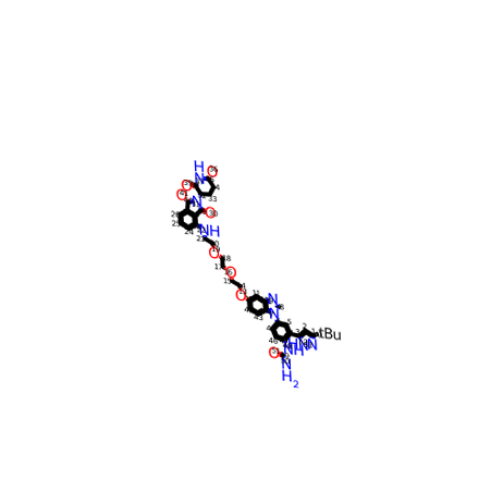 CC(C)(C)c1cc(-c2cc(-n3cnc4cc(OCCOCCOCCNc5cccc6c5C(=O)N(C5CCC(=O)NC5=O)C6=O)ccc43)ccc2NC(N)=O)[nH]n1